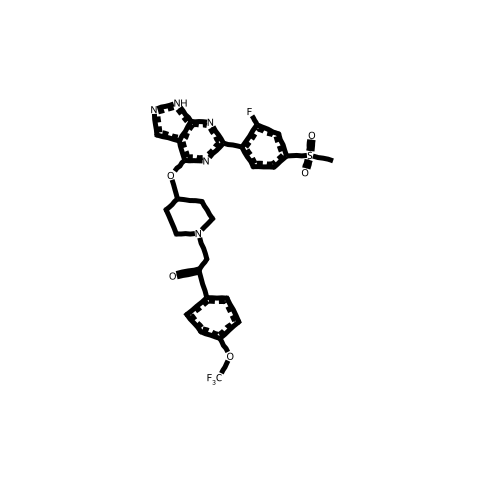 CS(=O)(=O)c1ccc(-c2nc(OC3CCN(CC(=O)c4ccc(OC(F)(F)F)cc4)CC3)c3cn[nH]c3n2)c(F)c1